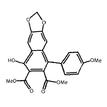 COC(=O)c1c(C(=O)OC)c(-c2ccc(OC)cc2)c2cc3c(cc2c1O)OCO3